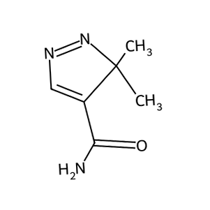 CC1(C)N=NC=C1C(N)=O